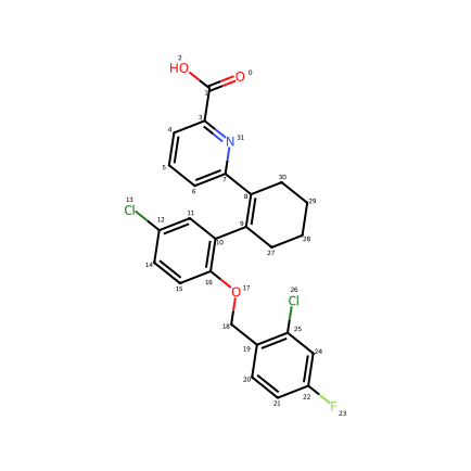 O=C(O)c1cccc(C2=C(c3cc(Cl)ccc3OCc3ccc(F)cc3Cl)CCCC2)n1